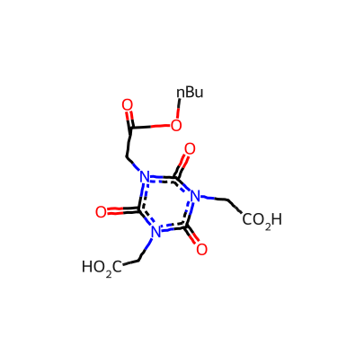 CCCCOC(=O)Cn1c(=O)n(CC(=O)O)c(=O)n(CC(=O)O)c1=O